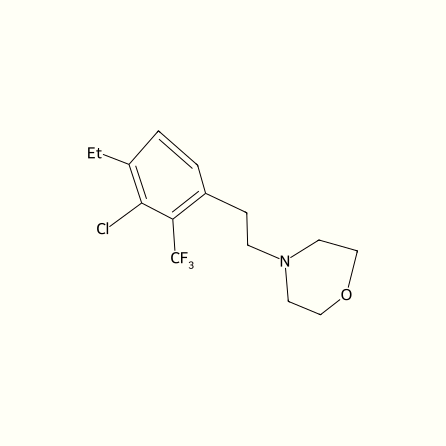 CCc1ccc(CCN2CCOCC2)c(C(F)(F)F)c1Cl